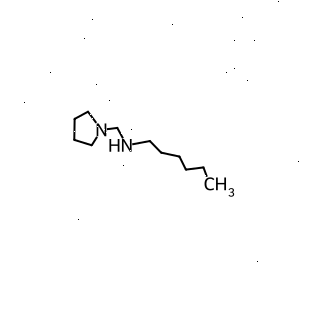 CCCCCCNCN1CCCC1